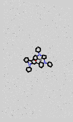 c1ccc(N2c3ccccc3B3c4c(-c5ccc6c7ccccc7n(-c7ccccc7)c6c5)cccc4N(c4ccccc4)c4cccc2c43)cc1